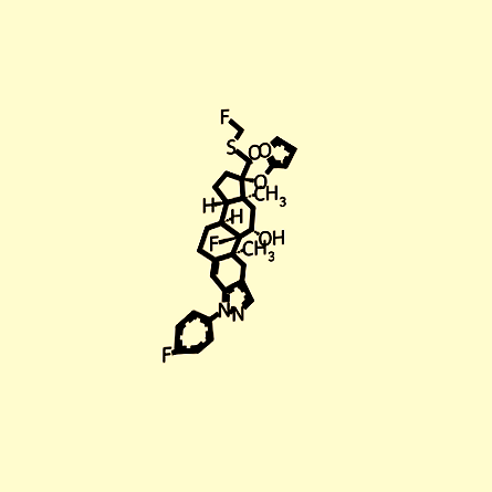 C[C@]12Cc3cnn(-c4ccc(F)cc4)c3C=C1CC[C@H]1[C@@H]3CC[C@](Oc4ccco4)(C(=O)SCF)[C@@]3(C)C[C@H](O)[C@@]12F